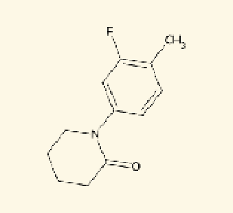 Cc1ccc(N2CCCCC2=O)cc1F